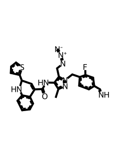 Cc1nn(Cc2ccc(C=N)cc2F)c(CN=[N+]=[N-])c1NC(=O)C1=CC(c2cccs2)Nc2ccccc21